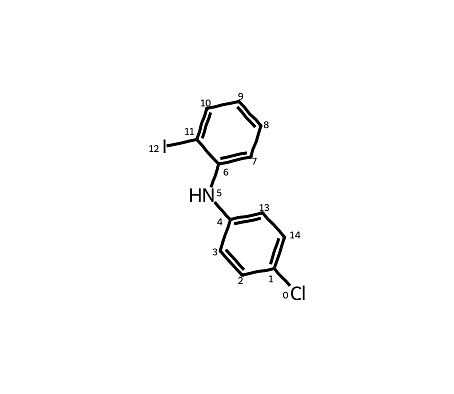 Clc1ccc(Nc2ccccc2I)cc1